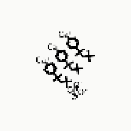 CC(C)(C)CC(C)(C)c1cc[c]([Ca+])cc1.CC(C)(C)CC(C)(C)c1cc[c]([Ca+])cc1.CC(C)(C)CC(C)(C)c1cc[c]([Ca+])cc1.O=P([O-])([O-])[O-]